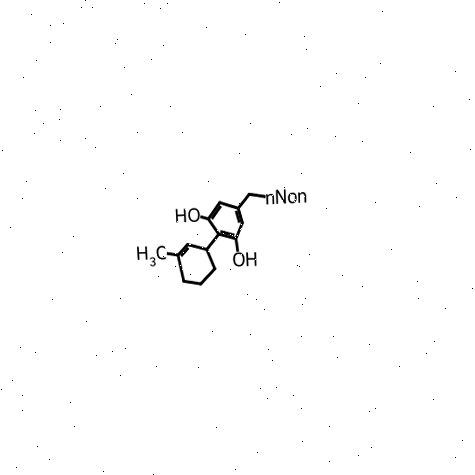 CCCCCCCCCCc1cc(O)c(C2C=C(C)CCC2)c(O)c1